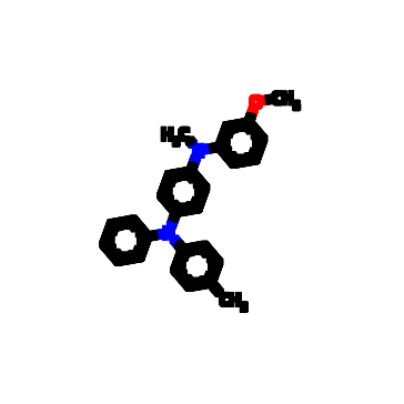 COc1cccc(N(C)c2ccc(N(c3ccccc3)c3ccc(C)cc3)cc2)c1